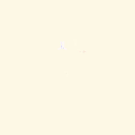 Cc1ccc2c(c1OCc1ccccc1)C[C@@H](C(=O)O)NC2